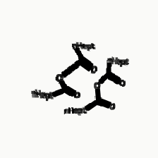 CCCCCCCC(=O)OC(=O)CCCCCCC.CCCCCCCC(=O)OC(=O)CCCCCCC